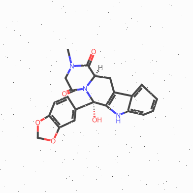 CN1CC(=O)N2[C@H](Cc3c([nH]c4ccccc34)[C@@]2(O)c2ccc3c(c2)OCO3)C1=O